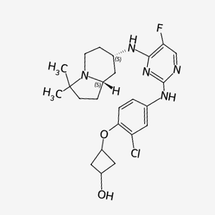 CC1(C)CC[C@H]2C[C@@H](Nc3nc(Nc4ccc(OC5CC(O)C5)c(Cl)c4)ncc3F)CCN21